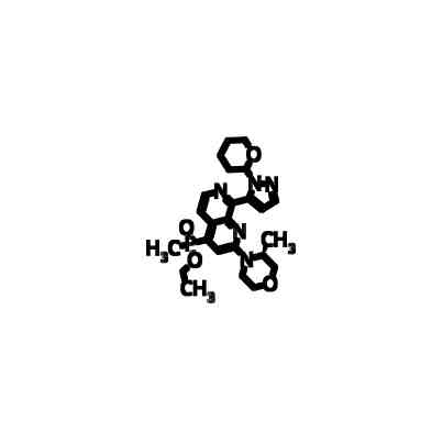 CCOP(C)(=O)c1cc(N2CCOC[C@H]2C)nc2c(-c3ccnn3C3CCCCO3)nccc12